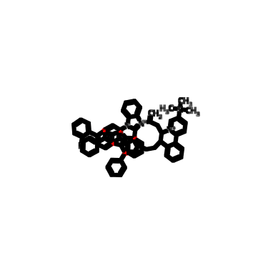 C=C1CC2C(CCc3cc(-c4ccccc4)c4c(oc5cc(-c6ccccc6F)ccc54)c3-c3n(-c4ccc(-c5ccccc5)cc4-c4ccccc4)c4ccccc4[n+]31)c1ccccc1-c1ccc([Si](C)(C)C)c[n+]12